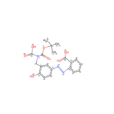 CC(C)(C)OC(=O)N(Cc1cc(N=Nc2ccccc2C(=O)O)ccc1O)C(=O)O